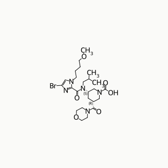 COCCCCn1cc(Br)nc1C(=O)N(CC(C)C)[C@H]1C[C@@H](C(=O)N2CCOCC2)CN(C(=O)O)C1